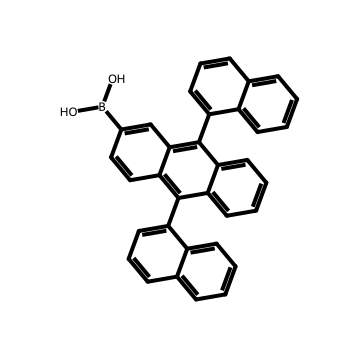 OB(O)c1ccc2c(-c3cccc4ccccc34)c3ccccc3c(-c3cccc4ccccc34)c2c1